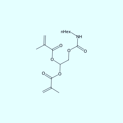 C=C(C)C(=O)OC(COC(=O)NCCCCCC)OC(=O)C(=C)C